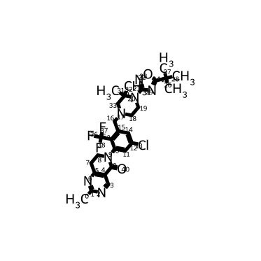 Cc1ncc2c(n1)CCN(c1cc(Cl)cc(CN3CCN(c4noc(C(C)(C)C)n4)C(C)(C)C3)c1C(F)(F)F)C2=O